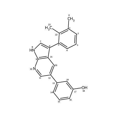 Cc1cccc(-c2c[nH]c3ncc(-c4cccc(O)c4)cc23)c1C